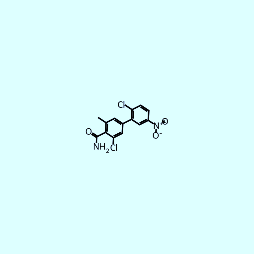 Cc1cc(-c2cc([N+](=O)[O-])ccc2Cl)cc(Cl)c1C(N)=O